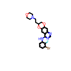 Fc1c(Br)cccc1Nc1ncnc2cc3c(cc12)OC(CCN1CCOCC1)CO3